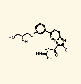 Cc1nc2ccc(-c3cccc(OC[C@H](O)CO)c3)nn2c1C(=O)NC(=N)S